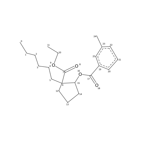 CCCCCCC1(C(=O)OCC)CCCC1OC(=O)c1cccc(C)c1